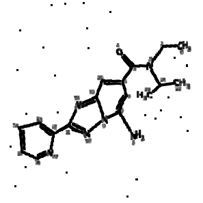 CCN(C(=O)c1cc(N)n2nc(-c3ccccn3)nc2c1)C(C)C